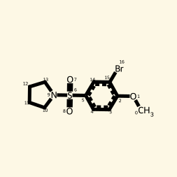 COc1ccc(S(=O)(=O)N2CCCC2)cc1Br